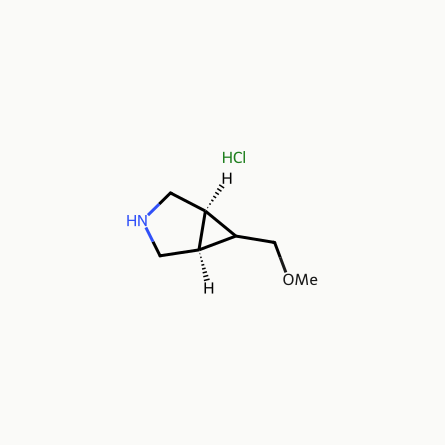 COCC1[C@H]2CNC[C@@H]12.Cl